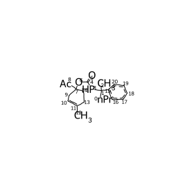 CCCC(C)(PC(=O)OC1(C(C)=O)CC=C(C)CC1)c1ccccc1